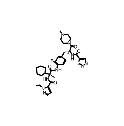 CCn1nccc1C(=O)N[C@@](C)(C(=O)Nc1ccc(C[C@@H](NC(=O)c2cnns2)C(=O)N2CCN(C)CC2)cc1F)C1CCCCC1